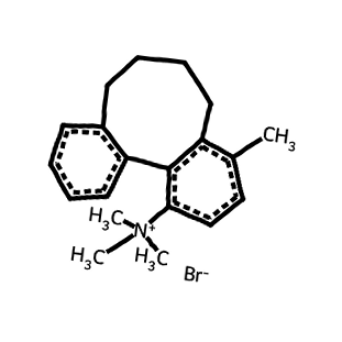 Cc1ccc([N+](C)(C)C)c2c1CCCCc1ccccc1-2.[Br-]